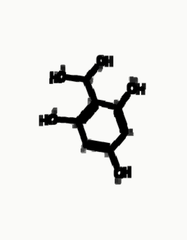 Oc1cc(O)c(C(O)O)c(O)c1